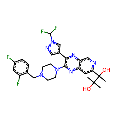 CC(C)(O)C(C)(O)c1cc2nc(N3CCN(Cc4ccc(F)cc4F)CC3)c(-c3cnn(C(F)F)c3)nc2cn1